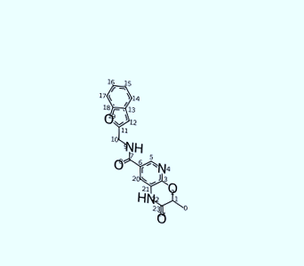 CC1Oc2ncc(C(=O)NCc3cc4ccccc4o3)cc2NC1=O